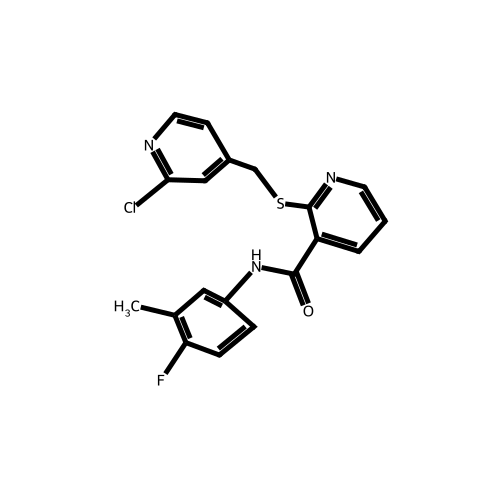 Cc1cc(NC(=O)c2cccnc2SCc2ccnc(Cl)c2)ccc1F